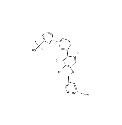 COc1cccc(COc2cc(C)n(-c3ccnc(-c4ccnc(C(C)(C)O)n4)c3)c(=O)c2Br)c1